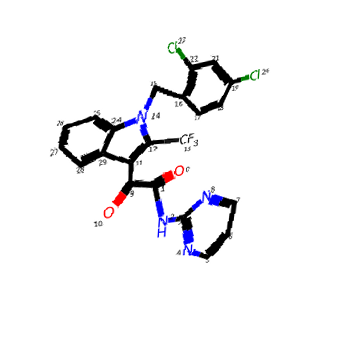 O=C(Nc1ncccn1)C(=O)c1c(C(F)(F)F)n(Cc2ccc(Cl)cc2Cl)c2ccccc12